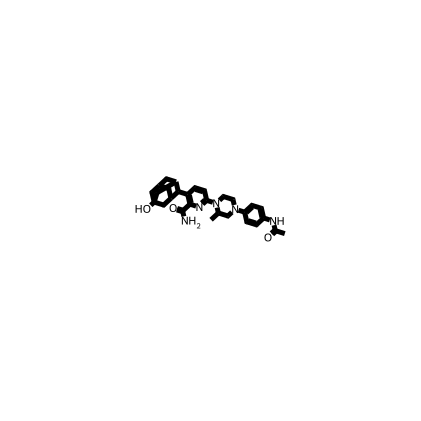 CC(=O)Nc1ccc(N2CCN(c3ccc(C4C5CC6CC4CC(O)(C6)C5)c(C(N)=O)n3)C(C)C2)cc1